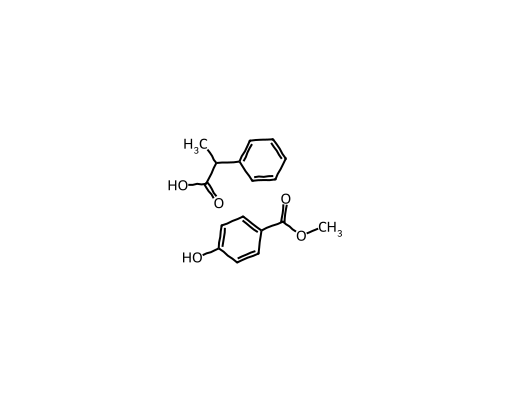 CC(C(=O)O)c1ccccc1.COC(=O)c1ccc(O)cc1